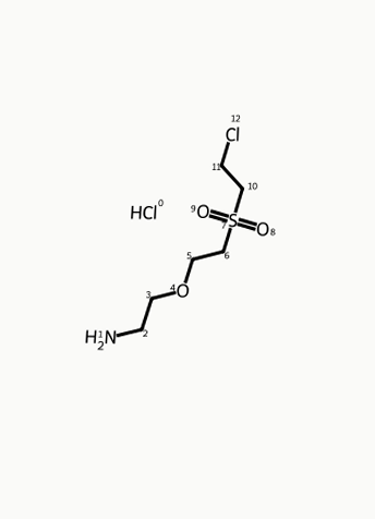 Cl.NCCOCCS(=O)(=O)CCCl